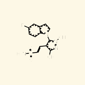 Cc1nn(C)c(-n2ccc3cc(F)ccc32)c1C=CS(N)(=O)=O